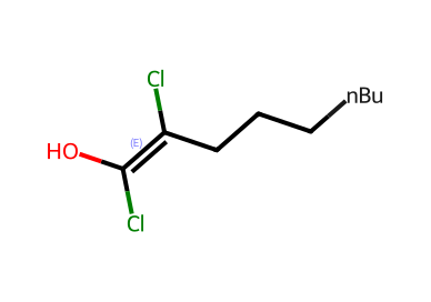 CCCCCCC/C(Cl)=C(/O)Cl